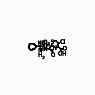 NC(N)(C(=O)N[C@@H]1C(=O)N2C(C(=O)O)=C(Cl)CS[C@H]12)c1ccccc1